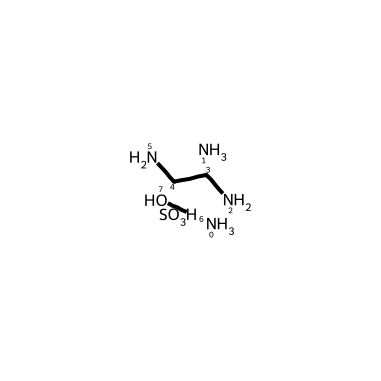 N.N.NCCN.O=S(=O)(O)O